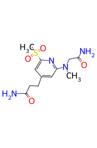 CN(CC(N)=O)c1cc(CCC(N)=O)cc(S(C)(=O)=O)n1